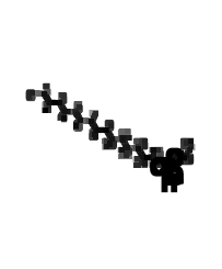 CCCCCCCCCCCCCCCCO[PH](=O)OCC